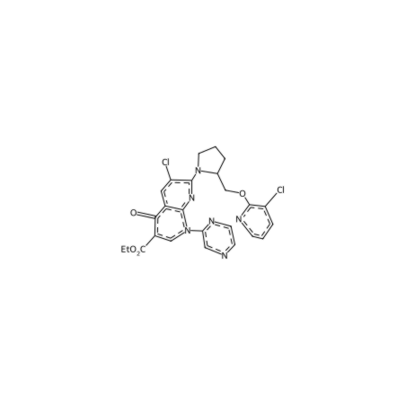 CCOC(=O)c1cn(-c2cnccn2)c2nc(N3CCCC3COc3ncccc3Cl)c(Cl)cc2c1=O